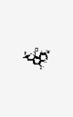 COc1c(CC(F)(F)F)cc(Br)c2ncc(Br)cc12